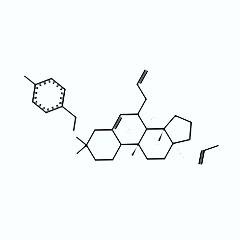 C=CCC1C=C2CC(O)(OCc3ccc(F)cc3)CC[C@]2(C)[C@H]2CC[C@]3(C)[C@@H](C(C)=O)CC[C@H]3[C@H]12